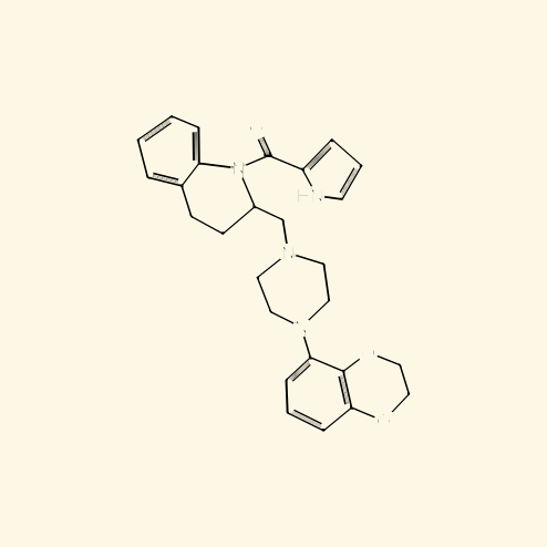 O=C(c1ccc[nH]1)N1c2ccccc2CCC1CN1CCN(c2cccc3c2OCCO3)CC1